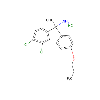 Cl.NC(C=O)(c1ccc(OCCC(F)(F)F)cc1)c1ccc(Cl)c(Cl)c1